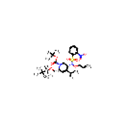 C=CCON([C@H]1CN(C(=O)OC(C)(C)C)[C@@H](CO[Si](C)(C)C(C)(C)C)C=C1C(C)C)S(=O)(=O)c1ccccc1[N+](=O)[O-]